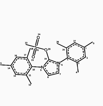 Cc1cc(C)c(-n2cc[n+](-c3c(C)cc(C)cc3C)c2OS(C)(=O)=O)c(C)c1